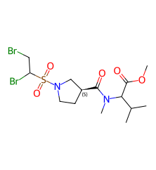 COC(=O)C(C(C)C)N(C)C(=O)[C@H]1CCN(S(=O)(=O)C(Br)CBr)C1